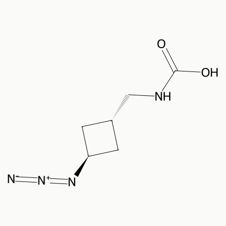 [N-]=[N+]=N[C@H]1C[C@H](CNC(=O)O)C1